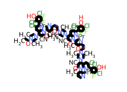 C=CC(=O)N1[C@H](C)CN(c2c(C#N)c(=O)n(-c3c(C)cc(/C=C\C(=O)N4[C@H](C)CN(c5c(C#N)c(=O)n(-c6c(C)cc(/C=C\C(=O)N7[C@H](C)CN(c8c(C#N)c(=O)n(-c9c(C)ccnc9C(C)C)c9nc(-c%10c(F)c(F)c(Cl)c(O)c%10Cl)c(Cl)cc89)C[C@@H]7C)nc6C(C)C)c6nc(-c7c(F)c(F)c(Cl)c(O)c7Cl)c(Cl)cc56)C[C@@H]4C)nc3C(C)C)c3nc(-c4c(F)c(F)c(Cl)c(O)c4Cl)c(Cl)cc23)C[C@@H]1C